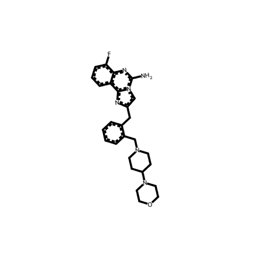 Nc1nc2c(F)cccc2c2nc(Cc3ccccc3CN3CCC(N4CCOCC4)CC3)cn12